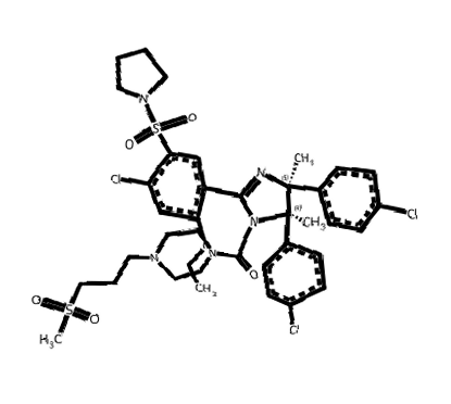 CCOc1cc(Cl)c(S(=O)(=O)N2CCCC2)cc1C1=N[C@@](C)(c2ccc(Cl)cc2)[C@@](C)(c2ccc(Cl)cc2)N1C(=O)N1CCN(CCCS(C)(=O)=O)CC1